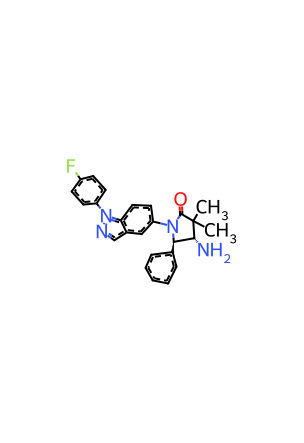 CC1(C)C(=O)N(c2ccc3c(cnn3-c3ccc(F)cc3)c2)[C@H](c2ccccc2)[C@H]1N